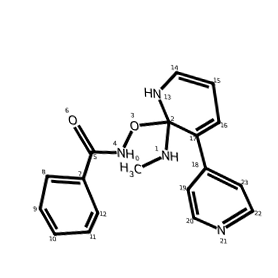 CNC1(ONC(=O)c2ccccc2)NC=CC=C1c1ccncc1